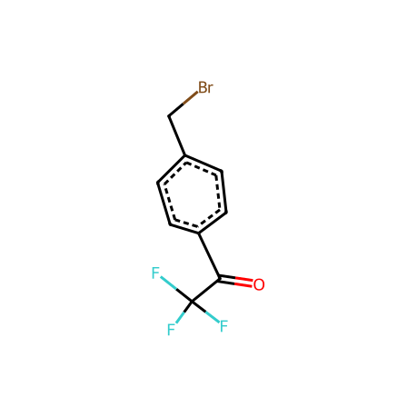 O=C(c1ccc(CBr)cc1)C(F)(F)F